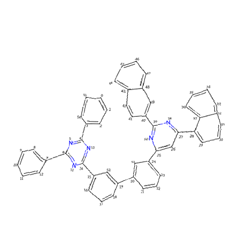 c1ccc(-c2nc(-c3ccccc3)nc(-c3cccc(-c4cccc(-c5cc(-c6cccc7ccccc67)nc(-c6ccc7ccccc7c6)n5)c4)c3)n2)cc1